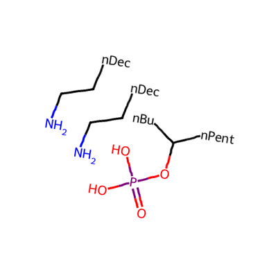 CCCCCC(CCCC)OP(=O)(O)O.CCCCCCCCCCCCN.CCCCCCCCCCCCN